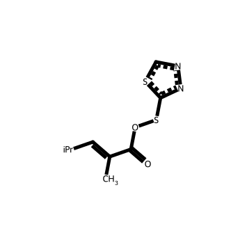 CC(=CC(C)C)C(=O)OSc1nncs1